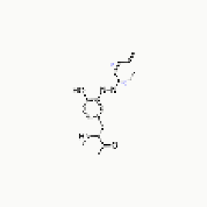 C=C/C=C\C(=C/C)N=Nc1cc(CC(NCC)C(C)=O)ccc1O